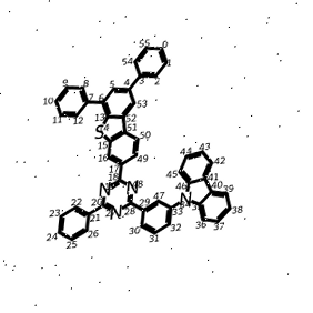 c1ccc(-c2cc(-c3ccccc3)c3sc4cc(-c5nc(-c6ccccc6)nc(-c6cccc(-n7c8ccccc8c8ccccc87)c6)n5)ccc4c3c2)cc1